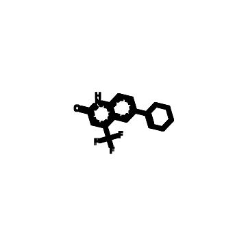 O=c1cc(C(F)(F)F)c2cc(C3=CCCCC3)ccc2[nH]1